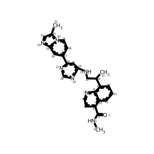 CNC(=O)c1ccnc2c(C(C)CNc3cc(-c4ccn5c(C)cnc5c4)ncn3)cccc12